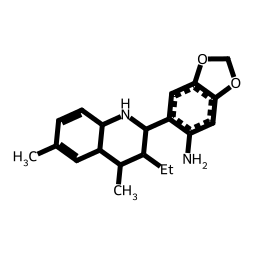 CCC1C(c2cc3c(cc2N)OCO3)NC2C=CC(C)=CC2C1C